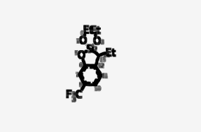 CCO[Si]1(OCC)Oc2cc(C(F)(F)F)ccc2C1CC